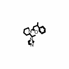 CC(CC(=O)N1CCCCC1C(C)n1ccnc1)c1ccccc1